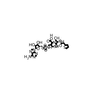 C[C@@H]1[C@H](NC(=O)Cc2cccs2)C(=O)N1/C(C(=O)O)=C(\CS)CNS(=O)(=O)OC[C@H]1O[C@@H](n2cnc3c(N)ncnc32)[C@H](O)[C@@H]1O